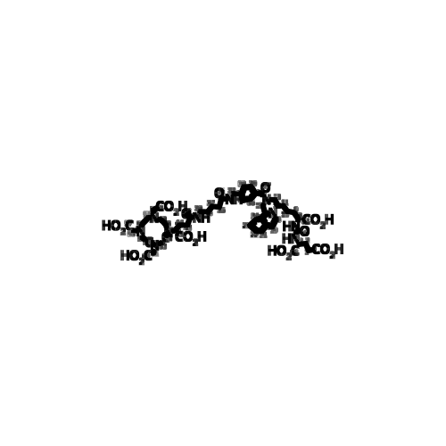 O=C(O)CC[C@@H](NC(=O)N[C@H](CCCCCN(Cc1nccc2ccccc12)C(=O)c1ccc(CNC(=O)CCCCNC(=O)CCC(C(=O)O)N2CCN(CC(=O)O)CCN(CC(=O)O)CCN(CC(=O)O)CC2)cc1)C(=O)O)C(=O)O